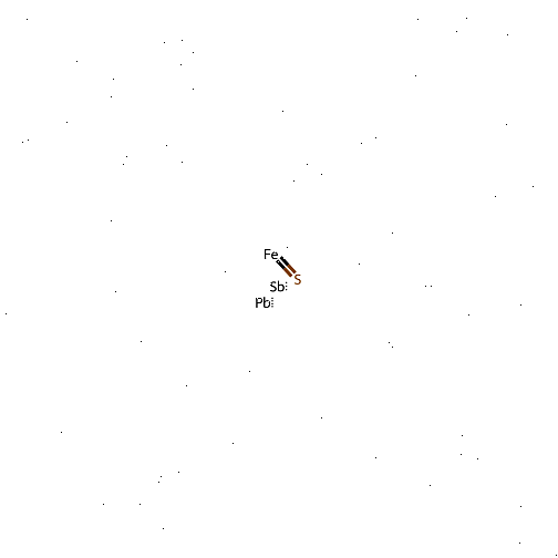 [Pb].[S]=[Fe].[Sb]